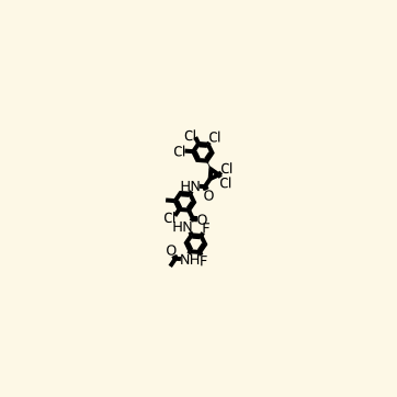 CC(=O)Nc1cc(NC(=O)c2cc(NC(=O)C3[C@H](c4cc(Cl)c(Cl)c(Cl)c4)C3(Cl)Cl)cc(C)c2Cl)c(F)cc1F